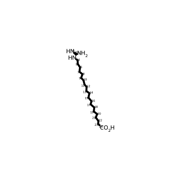 N=C(N)NCCCCCCCCCCCCCCCCCCCCC(=O)O